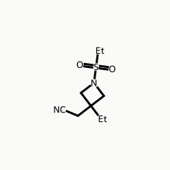 CCC1(CC#N)CN(S(=O)(=O)CC)C1